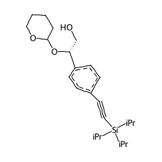 CC(C)[Si](C#Cc1ccc([C@@H](CO)OC2CCCCO2)cc1)(C(C)C)C(C)C